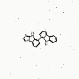 [c]1cn2c(n1)[nH]c1c(-c3cccc4c3[nH]c3ccccc34)cccc12